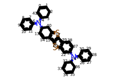 C1=CCCC(N(c2ccccc2)C2C=Cc3c(sc4c3sc3cc(N(c5ccccc5)C5C=CC=CC5)ccc34)C2)=C1